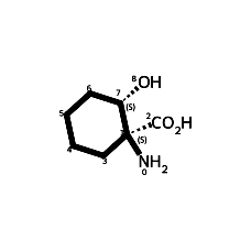 N[C@@]1(C(=O)O)CCCC[C@@H]1O